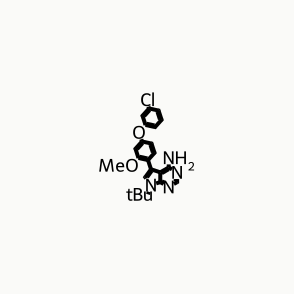 COc1cc(Oc2cccc(Cl)c2)ccc1-c1cn(C(C)(C)C)c2ncnc(N)c12